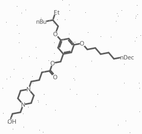 CCCCCCCCCCCCCCCOc1cc(COC(=O)CCCN2CCN(CCO)CC2)cc(OCC(CC)CCCC)c1